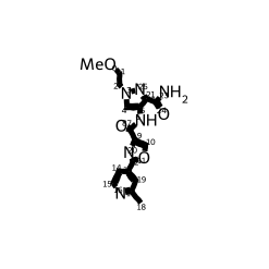 COCCn1cc(NC(=O)c2coc(-c3ccnc(C)c3)n2)c(C(N)=O)n1